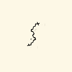 CC(C)(CO)CCCc1ccc(C=Cc2ccc(CCCC(C)(C)C(=O)O)[s+]2[O-])[s+]1[O-]